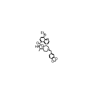 CCOc1ccc(S(=O)(=O)NC(C)N2CCCN(Cc3ccc4c(c3)OCO4)CC2)c2cccnc12